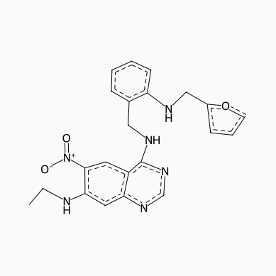 CCNc1cc2ncnc(NCc3ccccc3NCc3ccco3)c2cc1[N+](=O)[O-]